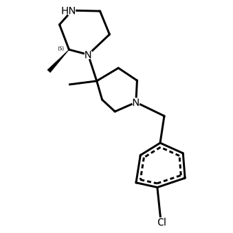 C[C@H]1CNCCN1C1(C)CCN(Cc2ccc(Cl)cc2)CC1